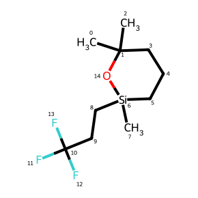 CC1(C)CCC[Si](C)(CCC(F)(F)F)O1